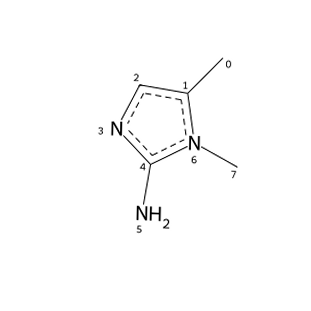 Cc1cnc(N)n1C